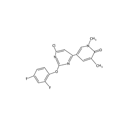 Cc1cc(-c2cc(Cl)nc(Oc3ccc(F)cc3F)n2)cn(C)c1=O